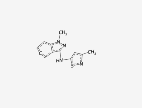 Cc1cc(Nc2nn(C)c3ccccc23)sn1